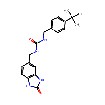 CC(C)(C)c1ccc(CNC(=O)NCc2ccc3[nH]c(=O)[nH]c3c2)cc1